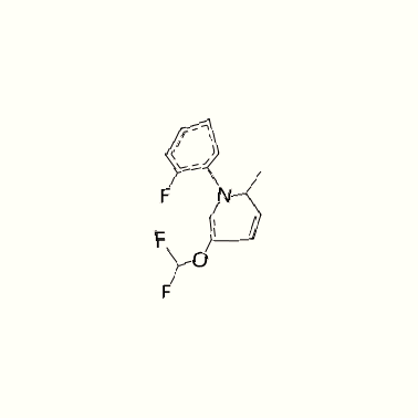 CC1C=CC(OC(F)F)=CN1c1ccccc1F